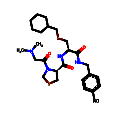 CN(C)CC(=O)N1CSC[C@H]1C(=O)N[C@@H](CSCC1CCCCC1)C(=O)NCc1ccc(N=O)cc1